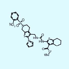 CC(C)(C)OC(=O)c1c(NC(=O)NCc2c(-n3cccc3)sc3c2CCN(S(=O)(=O)c2ccccc2[N+](=O)[O-])C3)sc2c1CCCC2